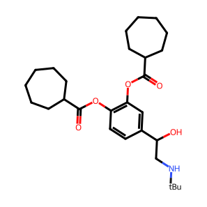 CC(C)(C)NCC(O)c1ccc(OC(=O)C2CCCCCC2)c(OC(=O)C2CCCCCC2)c1